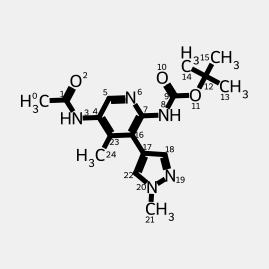 CC(=O)Nc1cnc(NC(=O)OC(C)(C)C)c(-c2cnn(C)c2)c1C